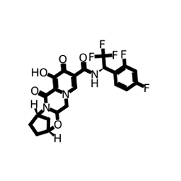 O=C(N[C@@H](c1ccc(F)cc1F)C(F)(F)F)c1cn2c(c(O)c1=O)C(=O)N1C(C2)O[C@@H]2CC[C@H]1C2